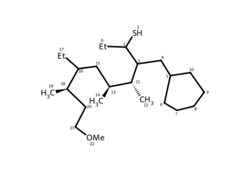 CCC(S)C(CC1CCCCC1)[C@H](C)[C@@H](C)CC(CC)[C@H](C)CCOC